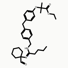 CCCC/C(=N/C1(C=O)CCCCC1)NCc1ccc(Cc2ccc(OC(C)(C)C(=O)OCC)cc2)cc1